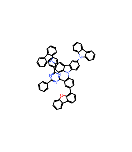 c1ccc(-c2nc(-c3ccccc3)nc(-c3cc(-c4cccc5c4oc4ccccc45)ccc3-n3c4ccc(-n5c6ccccc6c6ccccc65)cc4c4cc(-n5c6ccccc6c6ccccc65)ccc43)n2)cc1